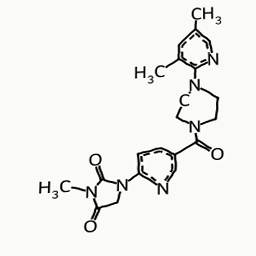 Cc1cnc(N2CCN(C(=O)c3ccc(N4CC(=O)N(C)C4=O)nc3)CC2)c(C)c1